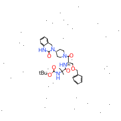 CC(C)(C)OC(=O)NC(C)(C)C(=O)N[C@H](COCc1ccccc1)C(=O)N1CCC(N2Cc3ccccc3NC2=O)CC1